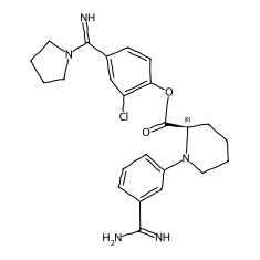 N=C(N)c1cccc(N2CCCC[C@@H]2C(=O)Oc2ccc(C(=N)N3CCCC3)cc2Cl)c1